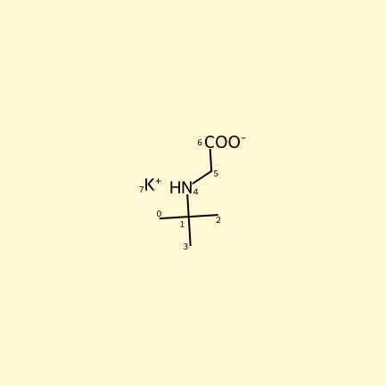 CC(C)(C)NCC(=O)[O-].[K+]